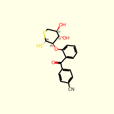 N#Cc1ccc(C(=O)c2ccccc2O[C@@H]2[C@@H](O)[C@H](O)CS[C@H]2S)cc1